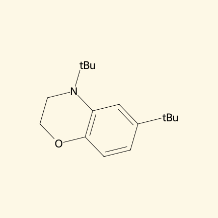 CC(C)(C)c1ccc2c(c1)N(C(C)(C)C)CCO2